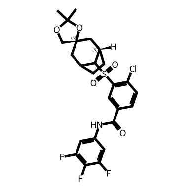 CC1(C)OC[C@@]2(CC3CC[C@@H](C2)C3S(=O)(=O)c2cc(C(=O)Nc3cc(F)c(F)c(F)c3)ccc2Cl)O1